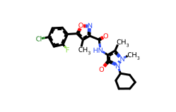 Cc1c(C(=O)Nc2c(C)n(C)n(C3CCCCC3)c2=O)noc1-c1ccc(Cl)cc1F